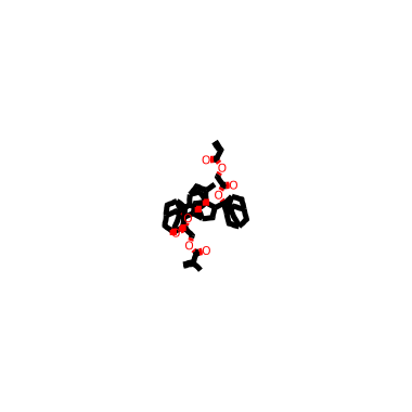 C=CC(=O)OCC(=O)OC1(C2CC3CC2CC3C23CC4CC(C2)C(OC(=O)COC(=O)C(=C)C)(C2CC5CC2CC5C)C(C4)C3)C2CC3CC(C2)CC1C3